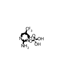 Nc1ncc(C(F)(F)F)cn1.O=P(O)(O)O